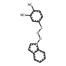 N#Cc1ccc(SOOn2ccc3ccccc32)cc1C#N